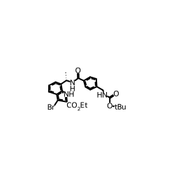 CCOC(=O)c1[nH]c2c([C@H](C)NC(=O)c3ccc(CNC(=O)OC(C)(C)C)cc3)cccc2c1Br